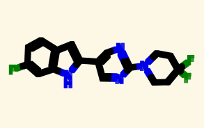 Fc1ccc2cc(-c3cnc(N4CCC(F)(F)CC4)nc3)[nH]c2c1